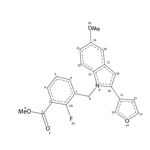 COC(=O)c1cccc(Cn2c(-c3ccoc3)cc3cc(OC)ccc32)c1F